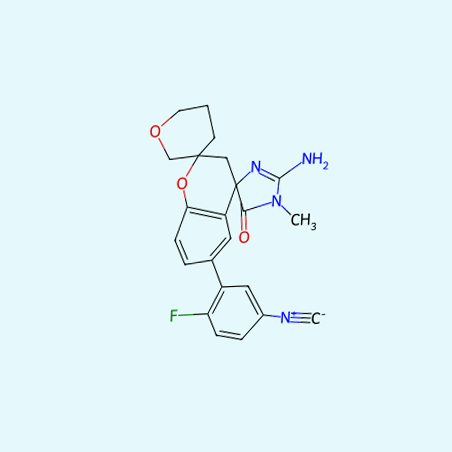 [C-]#[N+]c1ccc(F)c(-c2ccc3c(c2)C2(CC4(CCCOC4)O3)N=C(N)N(C)C2=O)c1